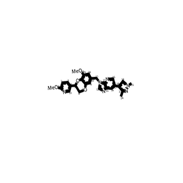 COc1ccc(C2COc3cc(Cn4cnc5cc(-c6cn(C)nc6C)cnc54)cc(OC)c3O2)cn1